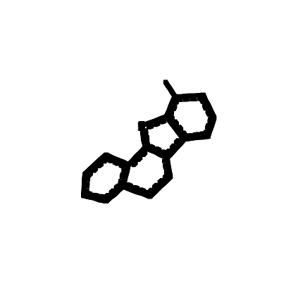 Cc1cccc2c1sc1c3ccccc3ccc21